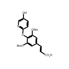 COc1cc(/C=C/C(=O)O)cc(OC)c1Oc1ccc(O)cn1